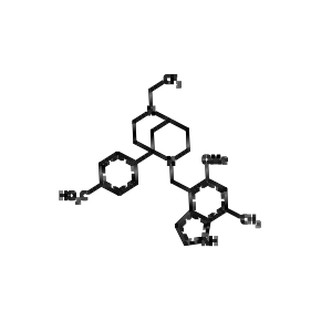 COc1cc(C)c2[nH]ccc2c1CN1CCC2CC1(c1ccc(C(=O)O)cc1)CCN2CC(F)(F)F